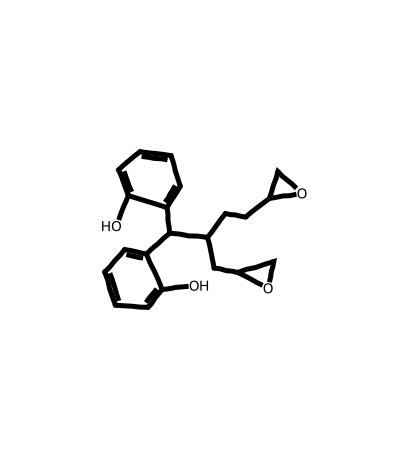 Oc1ccccc1C(c1ccccc1O)C(CCC1CO1)CC1CO1